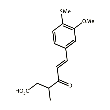 COc1cc(C=CC(=O)C(C)CC(=O)O)ccc1SC